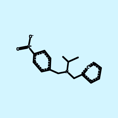 CC(C)N(Cc1ccccc1)Cc1ccc([N+](=O)[O-])cc1